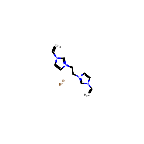 C=Cn1cc[n+](CC[n+]2ccn(C=C)c2)c1.[Br-].[Br-]